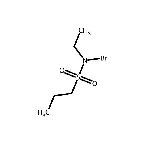 CCCS(=O)(=O)N(Br)CC